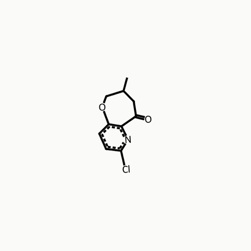 CC1COc2ccc(Cl)nc2C(=O)C1